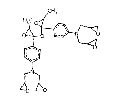 CC1OC1(OC1(c2ccc(N(CC3CO3)CC3CO3)cc2)OC1C)c1ccc(N(CC2CO2)CC2CO2)cc1